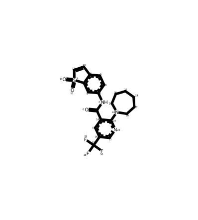 O=C(Nc1ccc2c(c1)S(=O)(=O)C=C2)c1cc(C(F)(F)F)cnc1N1CCCCCC1